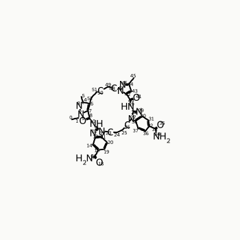 CCn1nc(C)c2c1C(=O)Nc1nc3cc(C(N)=O)ccc3n1CCCCn1c(nc3cc(C(N)=O)ccc31)NC(=O)c1cc(C)nn1CCCCC2